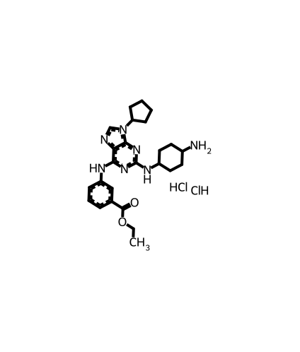 CCOC(=O)c1cccc(Nc2nc(NC3CCC(N)CC3)nc3c2ncn3C2CCCC2)c1.Cl.Cl